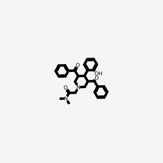 CN(C)C(=O)CN1CC(C(=O)c2ccccc2)C(c2ccccc2O)C(C(=O)c2ccccc2)C1